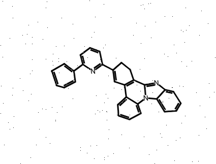 C1=C(c2cccc(-c3ccccc3)n2)CCc2c1c1ccccc1n1c2nc2ccccc21